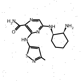 Cc1cc(Nc2nc(N[C@@H]3CCCC[C@@H]3N)cnc2C(N)=O)sn1